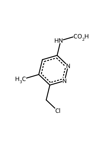 Cc1cc(NC(=O)O)nnc1CCl